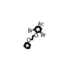 CC(=O)c1cc(Br)c(OCCOc2ccccc2)c(Br)c1